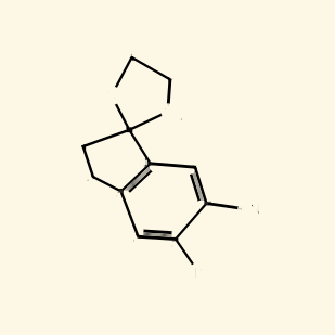 N#Cc1cc2c(cc1Br)CCC21SCCS1